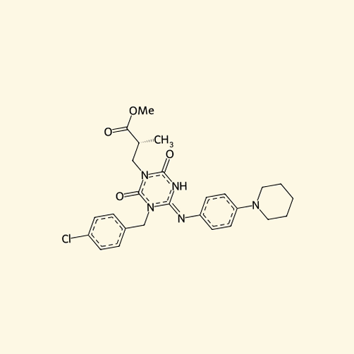 COC(=O)[C@H](C)Cn1c(=O)[nH]/c(=N\c2ccc(N3CCCCC3)cc2)n(Cc2ccc(Cl)cc2)c1=O